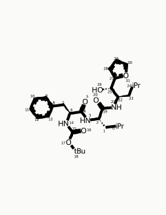 CC(C)C[C@H](NC(=O)[C@H](Cc1ccccc1)NC(=O)OC(C)(C)C)C(=O)N[C@H](CC(C)C)[C@H](O)c1ccco1